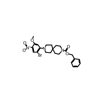 COc1cc(N2CCC3(CCN(C(=O)OCc4ccccc4)CC3)CC2)c(Br)cc1[N+](=O)[O-]